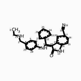 CCNCc1ccc(N/C(=C2\C(=O)Nc3ccc(C#N)cc32)c2ccccc2)cc1